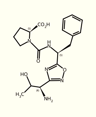 CC(O)[C@H](N)c1noc([C@H](Cc2ccccc2)NC(=O)N2CCC[C@H]2C(=O)O)n1